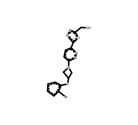 OCc1nnc(-c2ccc(N3CC(Oc4ccccc4Br)C3)nn2)o1